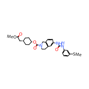 COC(=O)C[C@H]1CC[C@H](OC(=O)N2CCc3cc(NC(=O)Nc4cccc(SC)c4)ccc3C2)CC1